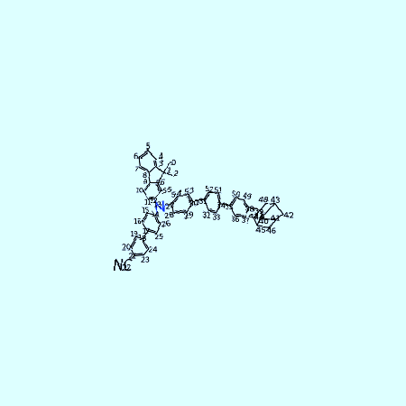 CC1(C)c2ccccc2-c2ccc(N(c3ccc(-c4ccc(C#N)cc4)cc3)c3ccc(-c4ccc(-c5ccc(C67CC8CC(CC(C8)C6)C7)cc5)cc4)cc3)cc21